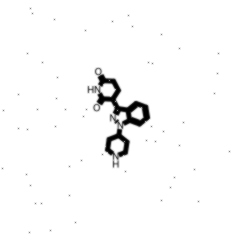 O=C1CCC(c2nn(C3CCNCC3)c3ccccc23)C(=O)N1